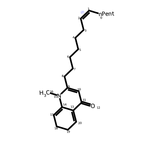 CCCCC/C=C\CCCCCCc1cc(=O)c2c(n1C)=CCCC=2